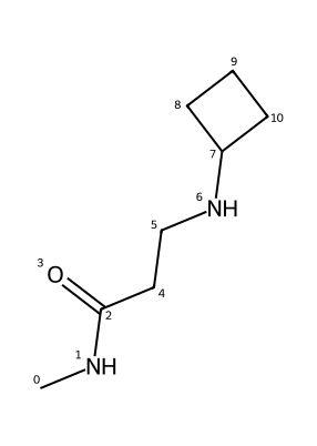 CNC(=O)CCNC1CCC1